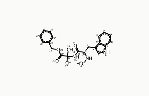 CN[C@H](Cc1c[nH]c2ccccc12)C(=O)NC(C)(C)C(=O)OCc1ccccc1